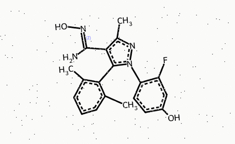 Cc1cccc(C)c1-c1c(/C(N)=N/O)c(C)nn1-c1ccc(O)cc1F